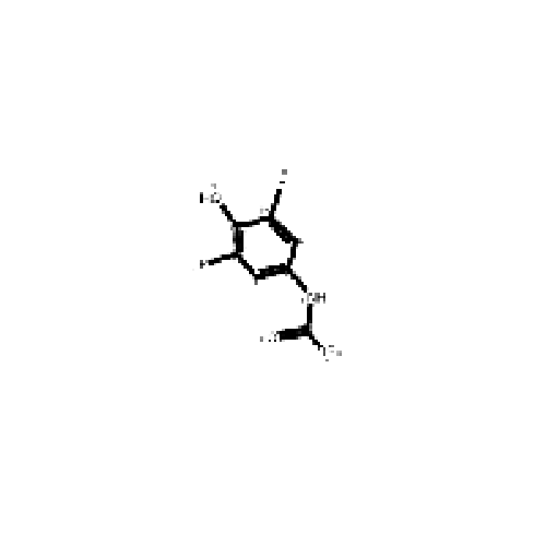 CC(C)(C)C(=O)Nc1cc(F)c(O)c(F)c1